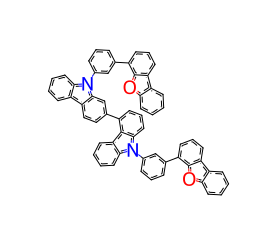 c1cc(-c2cccc3c2oc2ccccc23)cc(-n2c3ccccc3c3ccc(-c4cccc5c4c4ccccc4n5-c4cccc(-c5cccc6c5oc5ccccc56)c4)cc32)c1